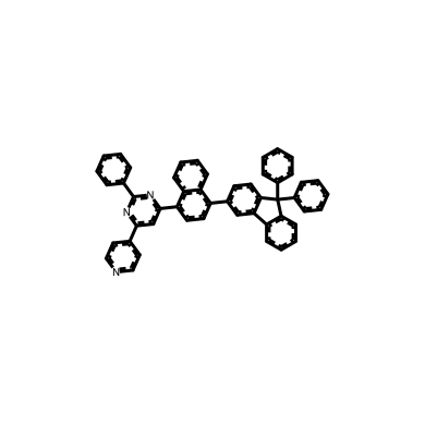 c1ccc(-c2nc(-c3ccncc3)cc(-c3ccc(-c4ccc5c(c4)-c4ccccc4C5(c4ccccc4)c4ccccc4)c4ccccc34)n2)cc1